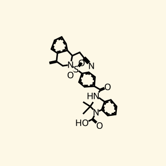 C=C1CN(S(=O)(=O)c2ccc(C(=O)Nc3ccccc3N(C(=O)O)C(C)(C)C)cc2)C(CC#N)c2ccccc21